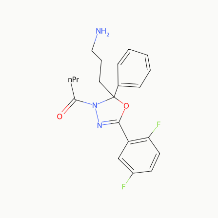 CCCC(=O)N1N=C(c2cc(F)ccc2F)OC1(CCCN)c1ccccc1